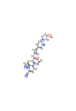 COC1CCN(c2ccc(C3CN(CC4CN(c5ccc(C#N)n6ncc(F)c56)CC(C)O4)C3)cn2)C1